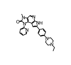 CCN1CCN(c2ccc(-c3cc4c(ncc5c4n(-c4ccccn4)c(=O)n5C)[nH]3)cc2)CC1